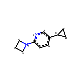 c1cc(N2CCC2)ncc1C1CC1